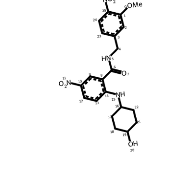 COc1cc(CNC(=O)c2cc([N+](=O)[O-])ccc2NC2CCC(O)CC2)ccc1[N+](=O)[O-]